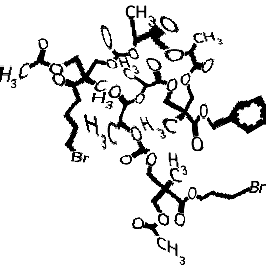 CC(=O)OCC(C)(COC(=O)OC(C)C(=O)OC(C)C(=O)OCC(C)(COC(=O)C(C)OC(=O)C(C)OC(=O)OCC(C)(COC(C)=O)C(=O)OCCCBr)C(=O)OCc1ccccc1)C(=O)CCCCBr